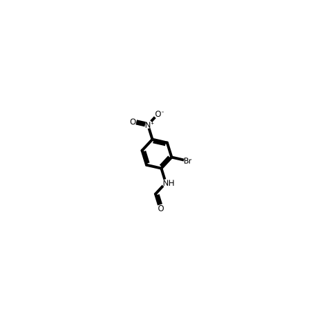 O=CNc1ccc([N+](=O)[O-])cc1Br